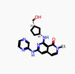 CCn1ccc2cc(Nc3cnccn3)nc(N[C@@H]3CC[C@H](CO)C3)c2c1=O